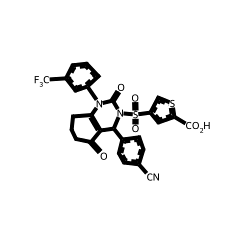 N#Cc1ccc(C2C3=C(CCCC3=O)N(c3cccc(C(F)(F)F)c3)C(=O)N2S(=O)(=O)c2csc(C(=O)O)c2)cc1